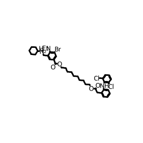 CCN(Cc1cc(C(=O)OCCCCCCCCCCOC(=O)Cc2ccccc2Nc2c(Cl)cccc2Cl)cc(Br)c1N)C1CCCCC1